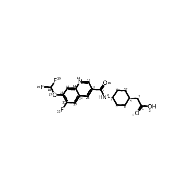 O=C(O)C[C@H]1CC[C@H](NC(=O)c2cnc3cc(OC(F)F)c(F)cc3c2)CC1